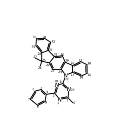 Cc1nc(-c2ccccc2)nc(-n2c3ccccc3c3cc4c(cc32)C(C)(C)c2ccccc2-4)n1